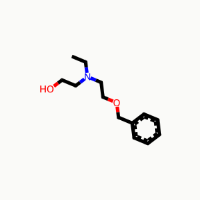 CCN(CCO)CCOCc1ccccc1